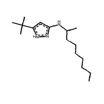 CCCCCCCC(C)Nc1cc(C(C)(C)C)[nH]n1